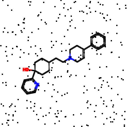 OC1(c2ccccn2)CCC(CCN2CC=C(c3ccccc3)CC2)CC1